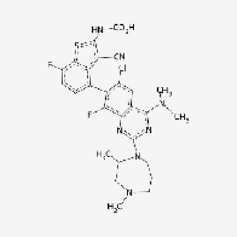 CC1CN(C)CCCN1c1nc(N(C)C)c2cc(Cl)c(-c3ccc(F)c4sc(NC(=O)O)c(C#N)c34)c(F)c2n1